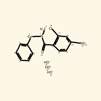 C[N]([Ge][c]1ccccc1)C(=O)c1ccc([N+](=O)[O-])cc1Cl.[OH-].[OH-].[OH-]